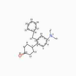 CN(C)c1ccc(C2CCC(=O)CC2)c(Cc2ccccc2)c1